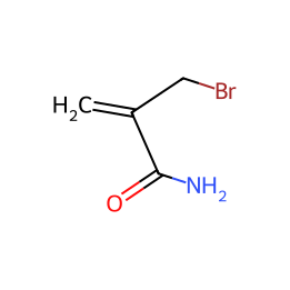 C=C(CBr)C(N)=O